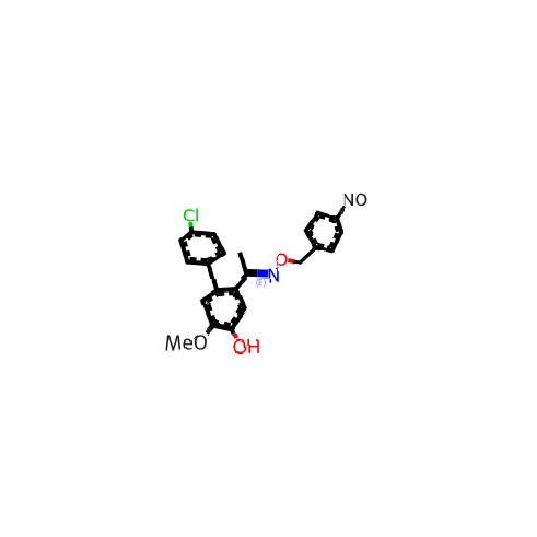 COc1cc(-c2ccc(Cl)cc2)c(/C(C)=N/OCc2ccc(N=O)cc2)cc1O